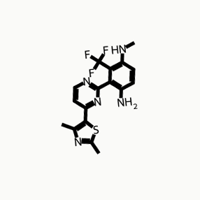 CNc1ccc(N)c(-c2nccc(-c3sc(C)nc3C)n2)c1C(F)(F)F